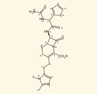 Cc1nnc(SCC2=C(C(=O)O)N3C(=O)[C@H](NC(=O)C(NC(N)=O)c4cccs4)C3SC2)n1C